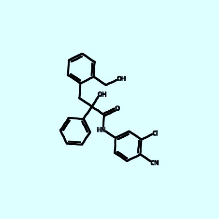 N#Cc1ccc(NC(=O)C(O)(Cc2ccccc2CO)c2ccccc2)cc1Cl